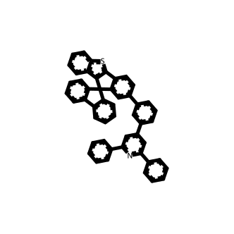 c1ccc(-c2cc(-c3cccc(-c4ccc5c(c4)C4(c6ccccc6-c6ccccc64)c4c-5sc5ccccc45)c3)cc(-c3ccccc3)n2)cc1